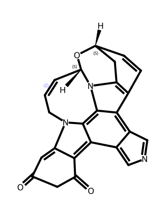 O=C1C=c2c(c3c4c(c5c6c7n8c5c3n2C/C=C\[C@@H]8O[C@H](C=C6)C7)C=NC=4)C(=O)C1